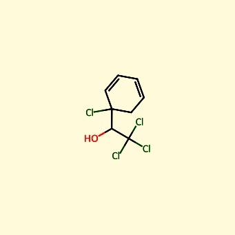 OC(C(Cl)(Cl)Cl)C1(Cl)C=CC=CC1